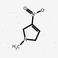 CN1C[C]=C([N+](=O)[O-])C1